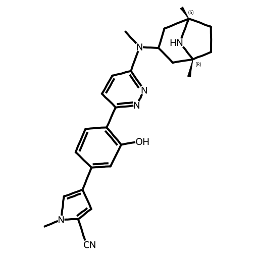 CN(c1ccc(-c2ccc(-c3cc(C#N)n(C)c3)cc2O)nn1)C1C[C@]2(C)CC[C@](C)(C1)N2